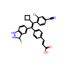 N#Cc1ccc(/C(=C(\c2ccc(/C=C/C(=O)O)cc2)c2ccc3c(c2)C(F)NN3)C2CCC2)c(Cl)c1